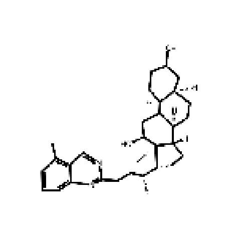 Cc1cccc2nc(CC[C@@H](C)[C@H]3CC[C@H]4[C@@H]5CC[C@@H]6C[C@H](O)CC[C@]6(C)C5C[C@H](O)[C@]34C)ncc12